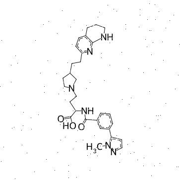 Cn1nccc1-c1cccc(C(=O)NC(CCN2CCC(CCc3ccc4c(n3)NCCC4)C2)C(=O)O)c1